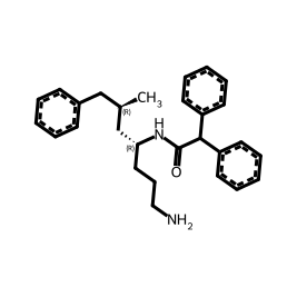 C[C@H](Cc1ccccc1)C[C@@H](CCCN)NC(=O)C(c1ccccc1)c1ccccc1